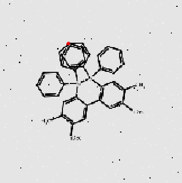 CCCCCCCCCCc1cc2c(cc1C)[Si](c1ccccc1)(c1ccccc1)[Si](c1ccccc1)(c1ccccc1)c1cc(C)c(CCCCCCCCCC)cc1-2